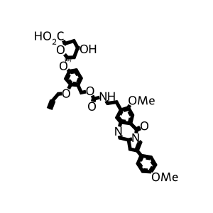 C#CCOc1cc(O[C@H]2CC(O)CC(C(=O)O)O2)ccc1COC(=O)NCCc1cc2c(cc1OC)C(=O)N1C=C(c3ccc(OC)cc3)CC1C=N2